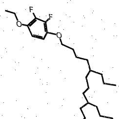 CCCCCC(CCC)CCCC(CCC)CCCCOc1ccc(OCC)c(F)c1F